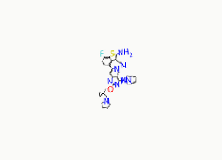 N#Cc1c(N)sc2c(F)ccc(-c3cc4nc(OCC5(CN6CCCC6)CC5)nc(N5CC6CCC(C5)N6)c4cn3)c12